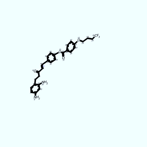 Nc1ccc(CCC(=O)/C=C/c2ccc(OC(=O)c3ccc(OCCCC(F)(F)F)cc3)cc2)c(N)c1